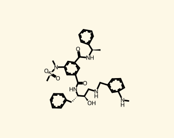 CNc1cccc(CNC[C@@H](O)[C@H](Cc2ccccc2)NC(=O)c2cc(C(=O)N[C@H](C)c3ccccc3)cc(N(C)S(C)(=O)=O)c2)c1